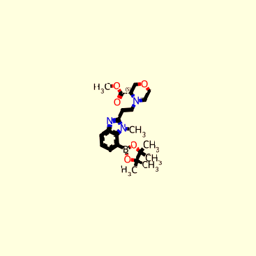 COC(=O)[C@@H]1COCCN1CCc1nc2cccc(B3OC(C)(C)C(C)(C)O3)c2n1C